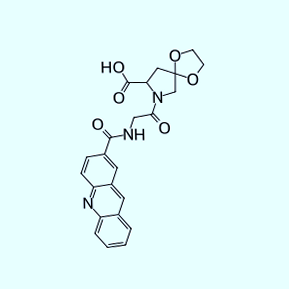 O=C(NCC(=O)N1CC2(CC1C(=O)O)OCCO2)c1ccc2nc3ccccc3cc2c1